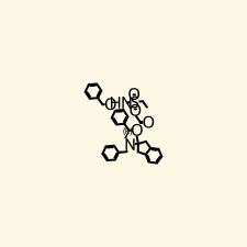 CCS(=O)(=O)Nc1cc([C@H](CN(Cc2ccccc2)C2(C)Cc3ccccc3C2)OC(C)=O)ccc1OCc1ccccc1